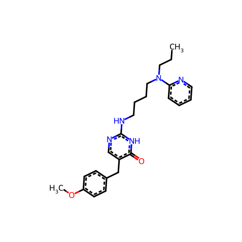 CCCN(CCCCNc1ncc(Cc2ccc(OC)cc2)c(=O)[nH]1)c1ccccn1